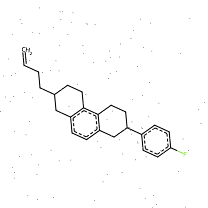 C=CCCC1CCc2c(ccc3c2CCC(c2ccc(F)cc2)C3)C1